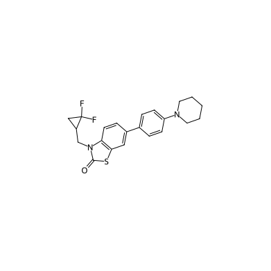 O=c1sc2cc(-c3ccc(N4CCCCC4)cc3)ccc2n1CC1CC1(F)F